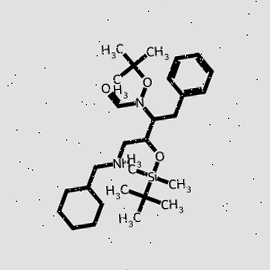 CC(C)(C)ON(C=O)C(Cc1ccccc1)C(CNCC1CCCCC1)O[Si](C)(C)C(C)(C)C